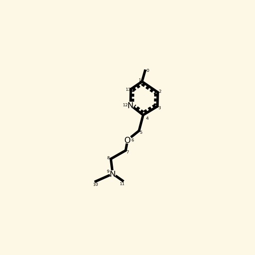 Cc1ccc(COCCN(C)C)nc1